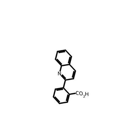 O=C(O)c1ccccc1-c1ccc2ccccc2n1